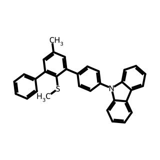 CSc1c(-c2ccccc2)cc(C)cc1-c1ccc(-n2c3ccccc3c3ccccc32)cc1